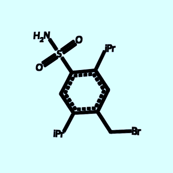 CC(C)c1cc(S(N)(=O)=O)c(C(C)C)cc1CBr